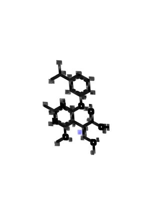 CO/C=C(\C(=O)O)c1c(OC)nc(C)nc1Oc1cccc(C(C)C)c1